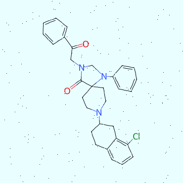 O=C(CN1CN(c2ccccc2)C2(CCN(C3CCc4cccc(Cl)c4C3)CC2)C1=O)c1ccccc1